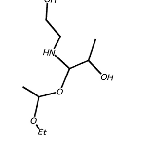 CCOC(C)OC(NCCO)C(C)O